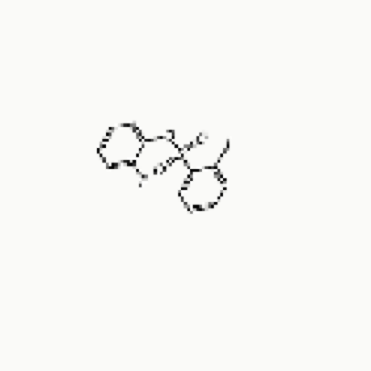 O=S(=O)(Oc1ccccc1F)c1ccccc1I